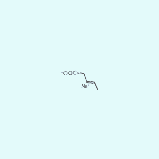 CC=CCC(=O)[O-].[Na+]